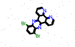 Brc1ccc(Br)c2nc3c4cccnc4c4ncccc4c3nc12